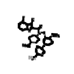 CN[C@H]1CC[C@H](N(Cc2cc(-c3ccc(N)nc3)ccc2OC)C(=O)c2sc3cccc(F)c3c2Cl)CC1